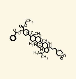 C=C(C)[C@@H]1CC[C@]2(NCCN3CCS(=O)(=O)CC3)CC[C@]3(C)[C@H](CCC4[C@@]5(C)CC=C(C6=CC[C@@](COC(=O)c7ccccc7)(C(=O)OCC)CC6)C(C)(C)C5CC[C@]43C)C12